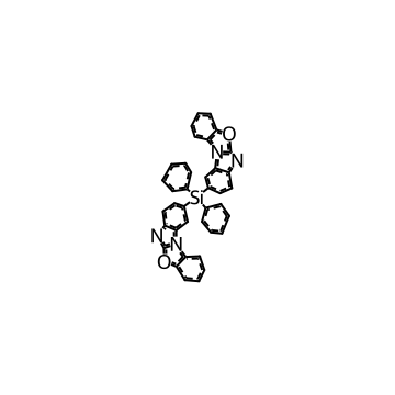 c1ccc([Si](c2ccccc2)(c2ccc3nc4oc5ccccc5n4c3c2)c2ccc3nc4oc5ccccc5n4c3c2)cc1